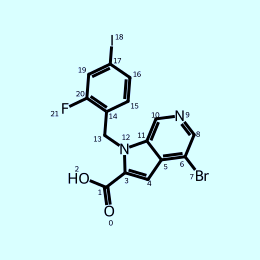 O=C(O)c1cc2c(Br)cncc2n1Cc1ccc(I)cc1F